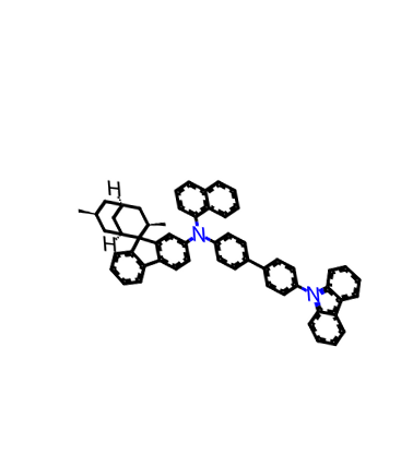 C[C@H]1C[C@@H]2C[C@H](C1)C1(c3ccccc3-c3ccc(N(c4ccc(-c5ccc(-n6c7ccccc7c7ccccc76)cc5)cc4)c4cccc5ccccc45)cc31)[C@H](C)C2